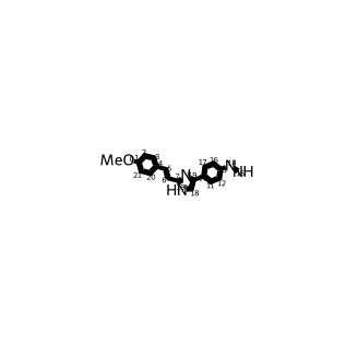 COc1ccc(/C=C/c2nc(-c3ccc(N=N)cc3)c[nH]2)cc1